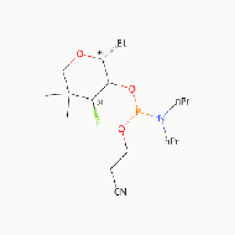 CCCN(CCC)P(OCCC#N)OC1[C@@H](F)C(C)(C)CO[C@@H]1CC